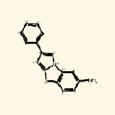 Nc1ccc2sc3nc(-c4ccccc4)cn3c2c1